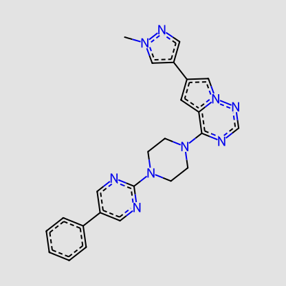 Cn1cc(-c2cc3c(N4CCN(c5ncc(-c6ccccc6)cn5)CC4)ncnn3c2)cn1